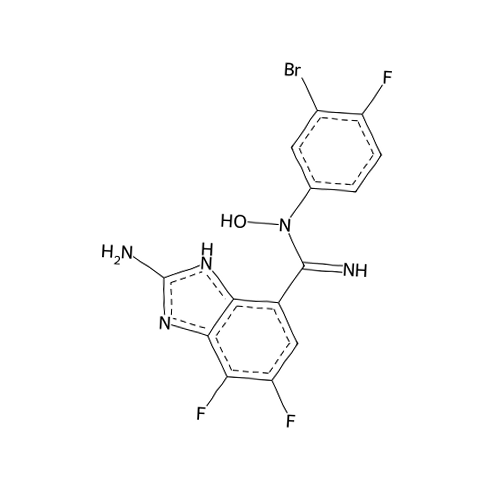 N=C(c1cc(F)c(F)c2nc(N)[nH]c12)N(O)c1ccc(F)c(Br)c1